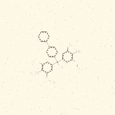 COc1cc(C(C)(c2ccc(-c3ccccc3)cc2)c2cc(C)c(N)c(OC)c2)cc(C)c1N